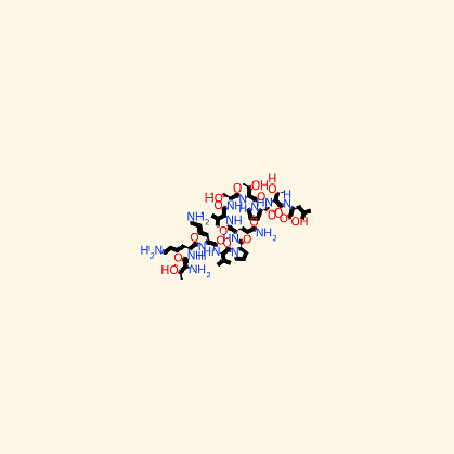 CC(C)C[C@H](NC(=O)[C@@H](NC(=O)[C@@H]1CCCN1C(=O)[C@@H](NC(=O)[C@H](CO)NC(=O)[C@@H](NC(=O)[C@H](CCC(N)=O)NC(=O)[C@@H]1CCCN1C(=O)[C@@H](NC(=O)[C@H](CCCCN)NC(=O)[C@H](CCCCN)NC(=O)[C@@H](N)[C@@H](C)O)C(C)C)C(C)C)[C@@H](C)O)[C@@H](C)O)C(=O)O